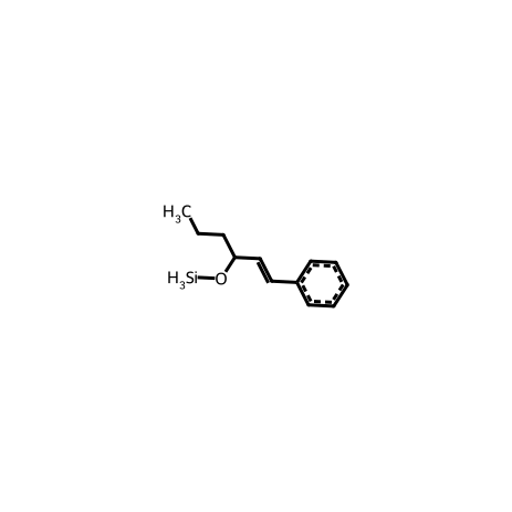 CCCC(C=Cc1ccccc1)O[SiH3]